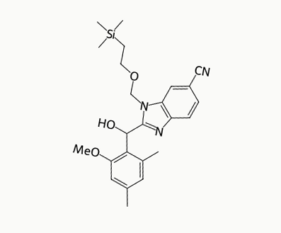 COc1cc(C)cc(C)c1C(O)c1nc2ccc(C#N)cc2n1COCC[Si](C)(C)C